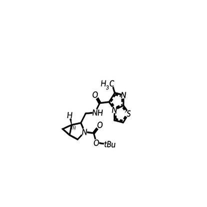 Cc1nc2sccn2c1C(=O)NCC1[C@H]2CC2CN1C(=O)OC(C)(C)C